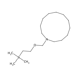 C[Si](C)(C)CCOCN1CCCCCCCCCCC1